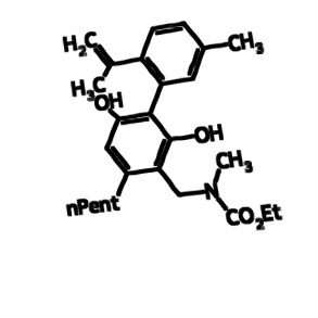 C=C(C)c1ccc(C)cc1-c1c(O)cc(CCCCC)c(CN(C)C(=O)OCC)c1O